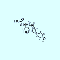 COc1ccc(-c2cc3c(O)c(C(=O)NCC(=O)O)c(=O)n(C)n3c2)cc1